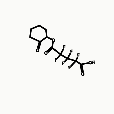 O=C1CCCCC1OC(=O)C(F)(F)C(F)(F)C(F)(F)C(=O)O